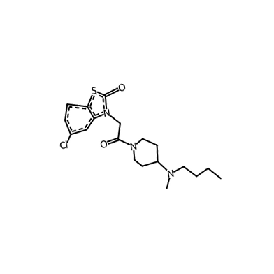 CCCCN(C)C1CCN(C(=O)Cn2c(=O)sc3ccc(Cl)cc32)CC1